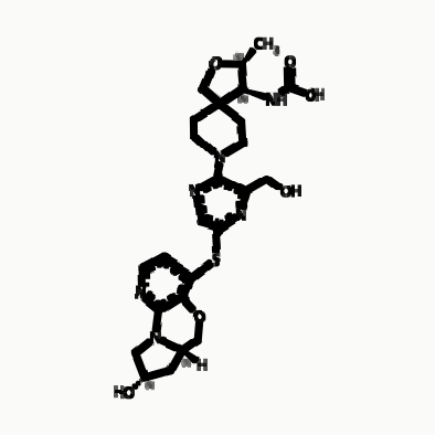 C[C@@H]1OCC2(CCN(c3ncc(Sc4ccnc5c4OC[C@@H]4C[C@H](O)CN54)nc3CO)CC2)[C@@H]1NC(=O)O